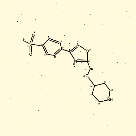 CS(=O)(=O)c1ccc(-c2noc(COC3CCNCC3)n2)cc1